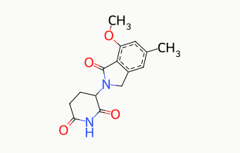 COc1cc(C)cc2c1C(=O)N(C1CCC(=O)NC1=O)C2